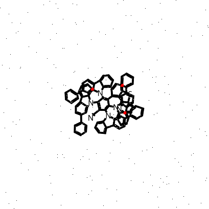 N#Cc1c(-n2c3ccccc3c3ccc(-c4ccccc4)cc32)c(-n2c3ccccc3c3ccc(-c4ccccc4)cc32)c(-c2cccc3sc4cccnc4c23)c(-n2c3ccccc3c3ccc(-c4ccccc4)cc32)c1-n1c2ccccc2c2ccc(-c3ccccc3)cc21